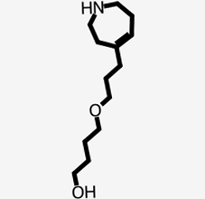 OCCCCOCCCC1=CCCNCC1